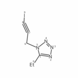 CCc1nnnn1CC#CI